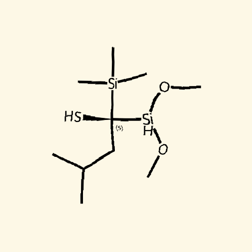 CO[SiH](OC)[C@](S)(CC(C)C)[Si](C)(C)C